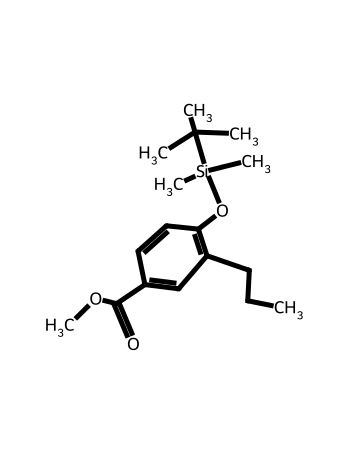 CCCc1cc(C(=O)OC)ccc1O[Si](C)(C)C(C)(C)C